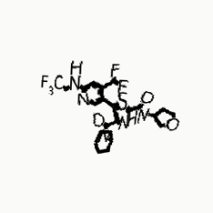 O=C(NC1CCOC1)c1nc(C(=O)N2C3CCC2CC3)c(-c2cnc(NCC(F)(F)F)cc2C(F)F)s1